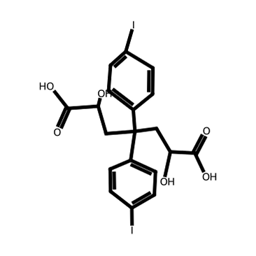 O=C(O)C(O)CC(CC(O)C(=O)O)(c1ccc(I)cc1)c1ccc(I)cc1